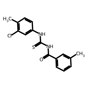 Cc1cccc(C(=O)NC(=S)Nc2ccc(C)c(Cl)c2)c1